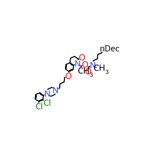 CCCCCCCCCCCCCCN(C)C(=O)OC(C)N1C(=O)CCc2ccc(OCCCCN3CCN(c4cccc(Cl)c4Cl)CC3)cc21